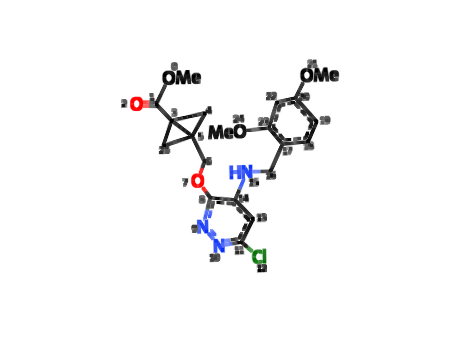 COC(=O)C12CC1(COc1nnc(Cl)cc1NCc1ccc(OC)cc1OC)C2